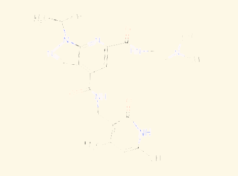 Cc1cc(C)c(CNC(=O)c2cc(C(=O)NCCN(C)C)nc3c2cnn3C(C)C)c(=O)[nH]1